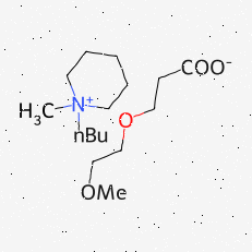 CCCC[N+]1(C)CCCCC1.COCCOCCC(=O)[O-]